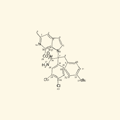 Cc1cc2ccn(C(Cc3ccc(C(C)(C)C)cc3)(C(N)=O)c3ccc(Cl)c(Cl)c3)c2c(C(=O)O)n1